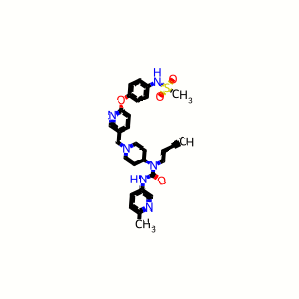 C#CCCN(C(=O)Nc1ccc(C)nc1)C1CCN(Cc2ccc(Oc3ccc(NS(C)(=O)=O)cc3)nc2)CC1